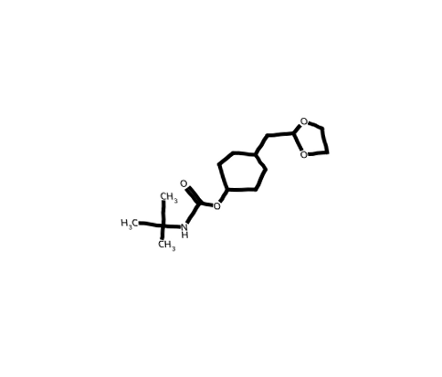 CC(C)(C)NC(=O)OC1CCC(CC2OCCO2)CC1